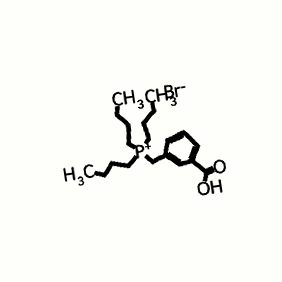 CCCC[P+](CCCC)(CCCC)Cc1cccc(C(=O)O)c1.[Br-]